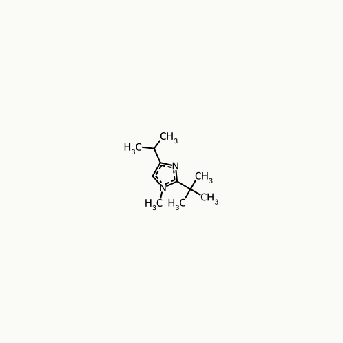 CC(C)c1cn(C)c(C(C)(C)C)n1